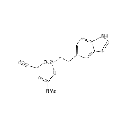 C#CCO[C@H](CCc1ccc2[nH]cnc2c1)OC(=O)NC